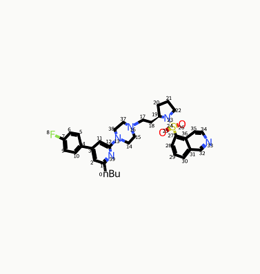 CCCCc1cc(-c2ccc(F)cc2)cc(N2CCN(CC[C@H]3CCCN3S(=O)(=O)c3cccc4cnccc34)CC2)n1